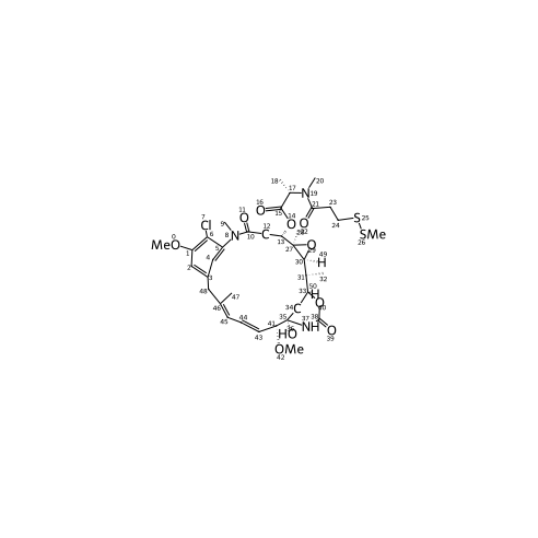 COc1cc2cc(c1Cl)N(C)C(=O)C[C@H](OC(=O)[C@H](C)N(C)C(=O)CCSSC)[C@@]1(C)O[C@H]1[C@H](C)[C@@H]1C[C@@](O)(NC(=O)O1)[C@H](OC)/C=C/C=C(\C)C2